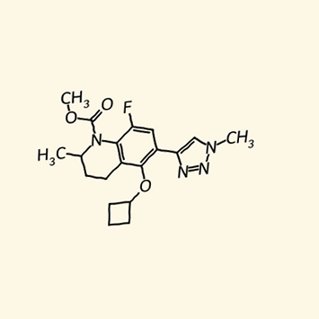 COC(=O)N1c2c(F)cc(-c3cn(C)nn3)c(OC3CCC3)c2CCC1C